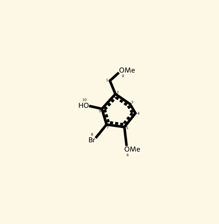 COCc1ccc(OC)c(Br)c1O